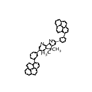 CC1(C)c2cc(-c3cccc(-c4ccc5ccc6cccc7ccc4c5c67)c3)cnc2-c2ncc(-c3cccc(-c4ccc5ccc6cccc7ccc4c5c67)c3)cc21